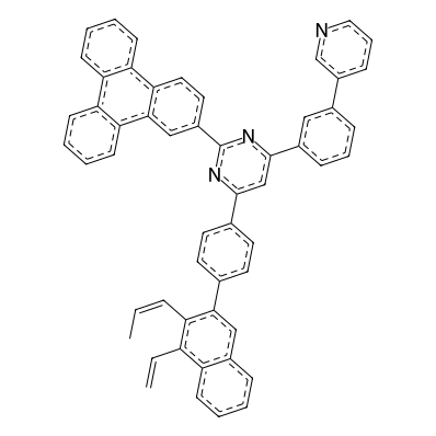 C=Cc1c(/C=C\C)c(-c2ccc(-c3cc(-c4cccc(-c5cccnc5)c4)nc(-c4ccc5c6ccccc6c6ccccc6c5c4)n3)cc2)cc2ccccc12